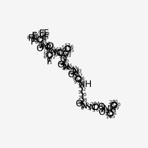 CN(CCN1CCC(OC(=O)Nc2ccccc2-c2ccccc2)CC1)C(=O)CCCCCCNc1ccc(C(=O)N(C)CCCN(C)C(=O)CO[C@H]2Cc3ccccc3C23CCN(CC[C@]2(c4ccc(F)cc4)CN(C(=O)c4cc(C(F)(F)F)cc(C(F)(F)F)c4)CO2)CC3)cc1